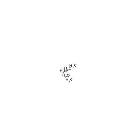 N.O.O.S.S